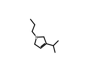 CCCN1CC=C(C(C)C)C1